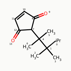 CC(C)C(C)(C)C(C)(C)C1C(=O)C=CC1=O